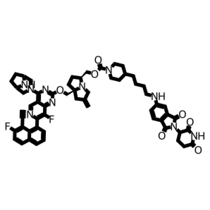 C#Cc1c(F)ccc2cccc(-c3ncc4c(N5CC6CCC(C5)N6)nc(OC[C@@]56CC[C@@H](COC(=O)N7CCC(CCCCNc8ccc9c(c8)C(=O)N(C8CCC(=O)NC8=O)C9=O)CC7)N5CC(=C)C6)nc4c3F)c12